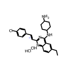 CCc1ccc2nc(/C=C/c3ccc(Cl)cc3)nc(NC3CCC(N)CC3)c2c1.Cl.Cl